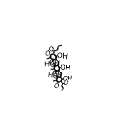 CCCC(=O)c1c(O)c(Cc2c(O)c(C)c(O)c(Cc3c(O)c(C)c(OC)c(C(=O)CCC)c3O)c2O)c(O)c(C)c1OC